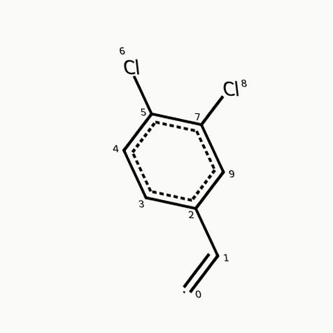 [CH]=Cc1ccc(Cl)c(Cl)c1